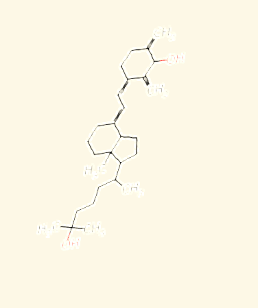 C=C1CC/C(=C/C=C2\CCCC3(C)C2CCC3C(C)CCCC(C)(C)O)C(=C)C1O